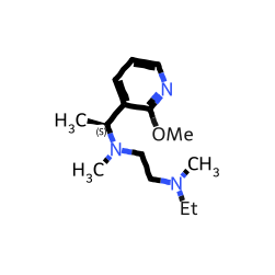 CCN(C)CCN(C)[C@@H](C)c1cccnc1OC